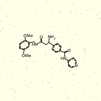 COc1ccc(OC)c(CNC(=O)CC(N)c2ccc(C(=O)Nc3ccncc3)cc2)c1